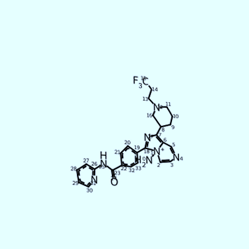 N[N+]12C=CN=CC1=C(C1CCCN(CCC(F)(F)F)C1)N=C2c1ccc(C(=O)Nc2ccccn2)cc1